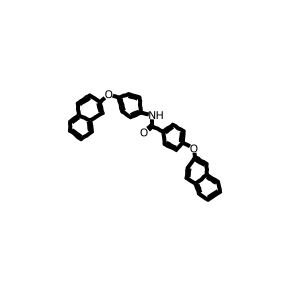 O=C(Nc1ccc(Oc2ccc3ccccc3c2)cc1)c1ccc(Oc2ccc3ccccc3c2)cc1